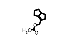 CC(=O)OCC1=C2CCCC2CC1